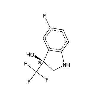 O[C@]1(C(F)(F)F)CNc2ccc(F)cc21